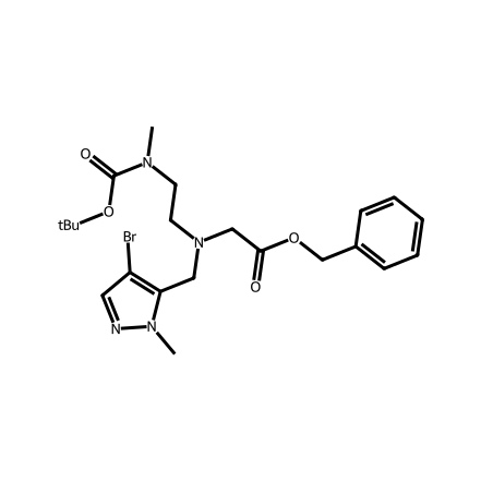 CN(CCN(CC(=O)OCc1ccccc1)Cc1c(Br)cnn1C)C(=O)OC(C)(C)C